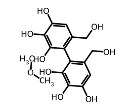 COC.OCc1cc(O)c(O)c(O)c1-c1c(CO)cc(O)c(O)c1O